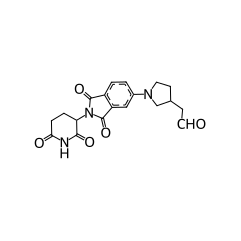 O=CCC1CCN(c2ccc3c(c2)C(=O)N(C2CCC(=O)NC2=O)C3=O)C1